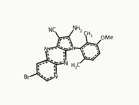 COc1ccc(C)c(-n2c(N)c(C#N)c3nc4cc(Br)cnc4nc32)c1C